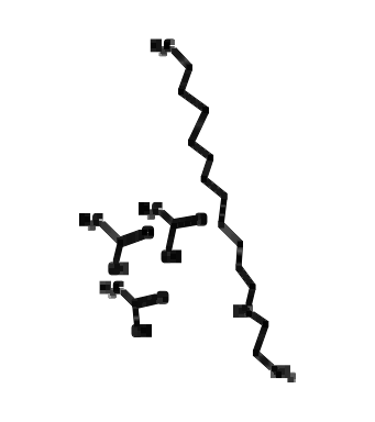 CC(=O)O.CC(=O)O.CC(=O)O.CCCCCCCCCCCCNCCN